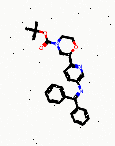 CC(C)(C)OC(=O)N1CCOC(c2ccc(N=C(c3ccccc3)c3ccccc3)cn2)C1